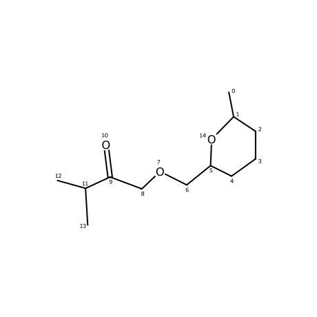 CC1CCCC(COCC(=O)C(C)C)O1